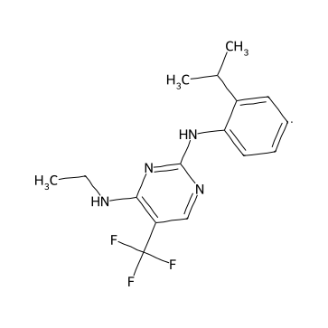 CCNc1nc(Nc2cc[c]cc2C(C)C)ncc1C(F)(F)F